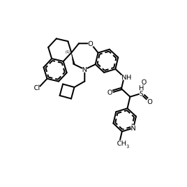 Cc1ccc(C(C(=O)Nc2ccc3c(c2)N(CC2CCC2)C[C@@]2(CCCc4cc(Cl)ccc42)CO3)[SH](=O)=O)cn1